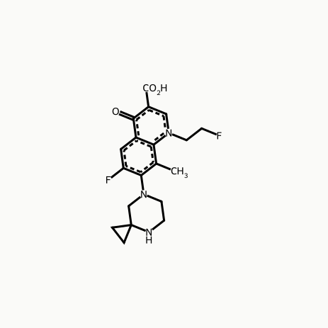 Cc1c(N2CCNC3(CC3)C2)c(F)cc2c(=O)c(C(=O)O)cn(CCF)c12